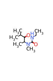 CCNC(=O)N(C)C(C)C(=O)C(C)C